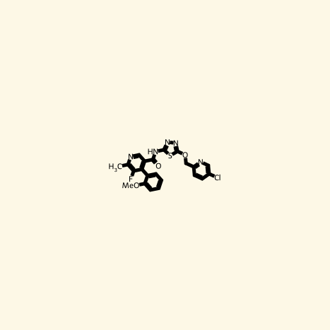 COc1ccccc1-c1c(C(=O)Nc2nnc(OCc3ccc(Cl)cn3)s2)cnc(C)c1F